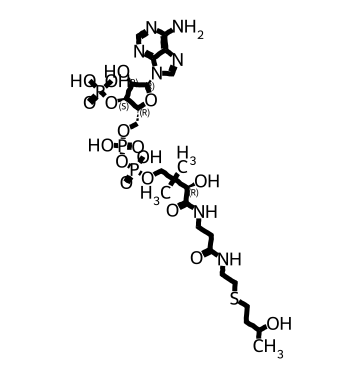 CC(O)CCSCCNC(=O)CCNC(=O)[C@H](O)C(C)(C)COP(=O)(O)OP(=O)(O)OC[C@H]1O[C@@H](n2cnc3c(N)ncnc32)[C@H](O)[C@@H]1OP(=O)(O)O